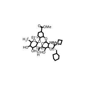 CC[C@@H]1CC(C(=O)OC)CC(O[C@@H]2O[C@@H](CO)C(O)C(O[C@@H](CC3CCCCC3)C(=O)N3CCC3)C2NC(C)=O)C1OC1OC(C)C(O)C(O)C1O